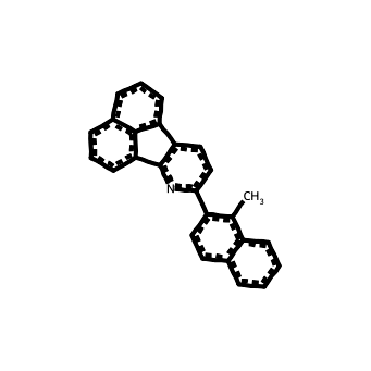 Cc1c(-c2ccc3c(n2)-c2cccc4cccc-3c24)ccc2ccccc12